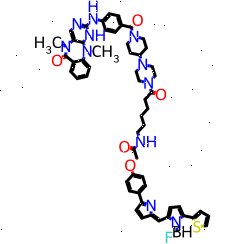 CN1C(=O)c2ccccc2N(C)C2NC(Nc3ccc(C(=O)N4CCC(N5CCN(C(=O)CCCCCNC(=O)COc6ccc(C7=N/C(=C\c8ccc(-c9cccs9)n8BF)C=C7)cc6)CC5)CC4)cc3)=NC=C21